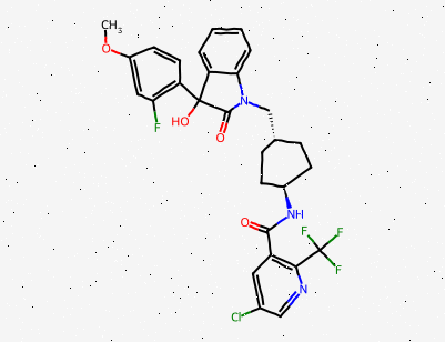 COc1ccc(C2(O)C(=O)N(C[C@H]3CC[C@H](NC(=O)c4cc(Cl)cnc4C(F)(F)F)CC3)c3ccccc32)c(F)c1